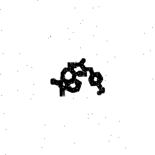 COc1ccc(CCC(C)NC2CCn3c(=O)[nH]c4cccc(c43)C2O)cc1